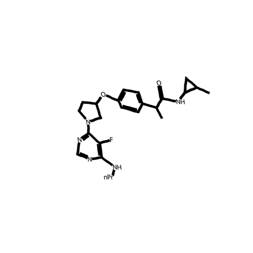 CCCNc1ncnc(N2CCC(Oc3ccc(C(C)C(=O)NC4CC4C)cc3)C2)c1F